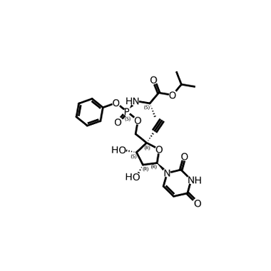 C#C[C@]1(CO[P@@](=O)(N[C@@H](C)C(=O)OC(C)C)Oc2ccccc2)O[C@@H](n2ccc(=O)[nH]c2=O)[C@H](O)[C@@H]1O